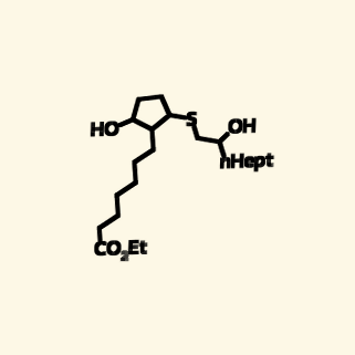 CCCCCCCC(O)CSC1CCC(O)C1CCCCCCC(=O)OCC